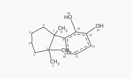 CC1(C)CCCCC1(C)c1cccc(O)c1O